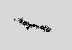 CN1C[C@H]2C[C@@H]1CN2c1ccc2nc(-c3cn(C4CC(CCCNc5ccc6c(c5)C(=O)N(C5CCC(=O)NC5=O)C6=O)C4)nc3C3CC3)cnc2c1